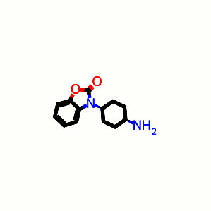 N[C@H]1CC[C@@H](n2c(=O)oc3ccccc32)CC1